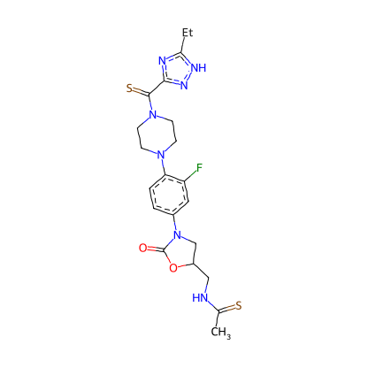 CCc1nc(C(=S)N2CCN(c3ccc(N4CC(CNC(C)=S)OC4=O)cc3F)CC2)n[nH]1